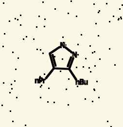 CCCCC1=N[N]C=C1CCC